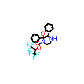 CC1NCCN(C(=O)OC(C(F)(F)F)C(F)(F)F)C1(Oc1ccccc1)c1ccccc1